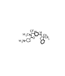 CN(C(=O)[C@H]1CC[C@@H](N)C1)[C@@H](c1ccc(N[C@H]2Cc3ccccc3C2(C)C)cn1)C(F)(F)F